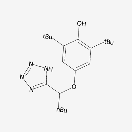 CCCCC(Oc1cc(C(C)(C)C)c(O)c(C(C)(C)C)c1)c1nnn[nH]1